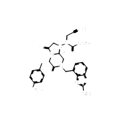 C#CCN(C(=O)NC)N1CC(=O)N2[C@@H](Cc3ccc(OC)cc3)C(=O)N(Cc3cccc4sc(N)nc34)C[C@@H]21